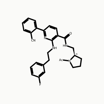 CC(=O)N1CCC[C@@H]1CNC(=O)c1ccc(-c2ccccc2C#N)nc1NCCc1cccc(F)c1